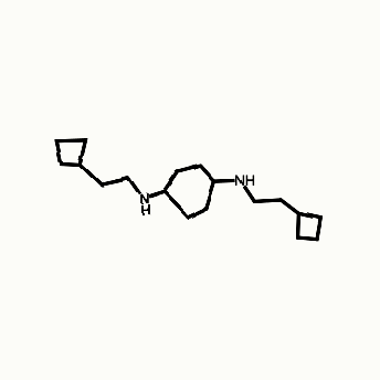 C1CC(CCNC2CCC(NCCC3CCC3)CC2)C1